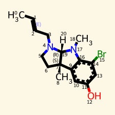 C/C=C/CN1CC[C@@]2(C)c3cc(O)cc(Br)c3N(C)[C@@H]12